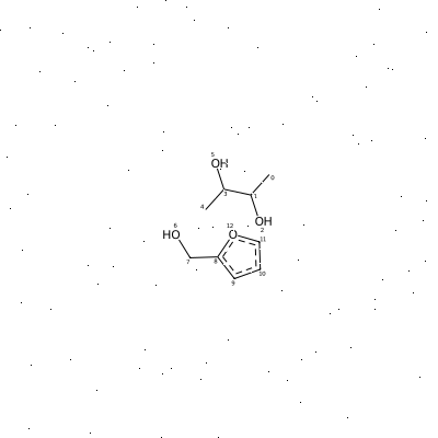 CC(O)C(C)O.OCc1ccco1